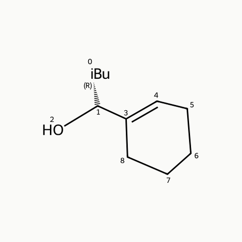 CC[C@@H](C)C(O)C1=CCCCC1